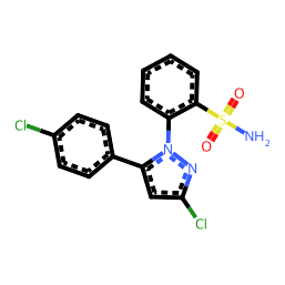 NS(=O)(=O)c1ccccc1-n1nc(Cl)cc1-c1ccc(Cl)cc1